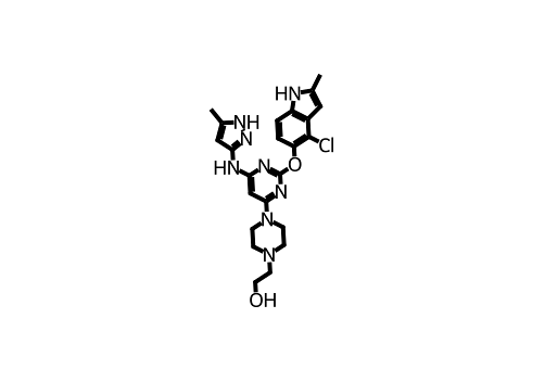 Cc1cc(Nc2cc(N3CCN(CCO)CC3)nc(Oc3ccc4[nH]c(C)cc4c3Cl)n2)n[nH]1